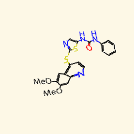 COc1cc2nccc(Sc3ncc(NC(=O)Nc4ccccc4)s3)c2cc1OC